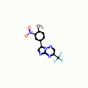 Cc1ccc(-c2cnc3nc(C(F)(F)F)cnn23)cc1[N+](=O)[O-]